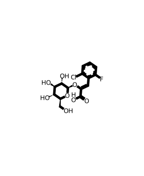 O=C(O)C(=Cc1c(F)cccc1Cl)O[C@H]1O[C@@H](CO)[C@H](O)[C@@H](O)[C@@H]1O